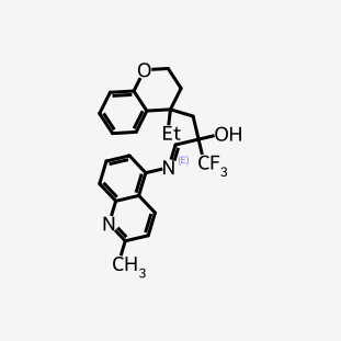 CCC1(CC(O)(/C=N/c2cccc3nc(C)ccc23)C(F)(F)F)CCOc2ccccc21